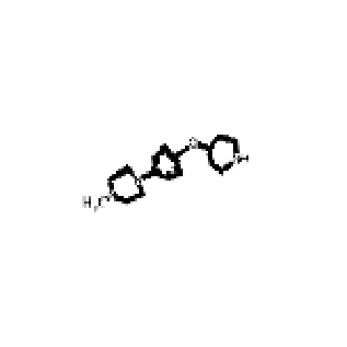 CN1CCN(c2ccc(OC3CCNCC3)cc2)CC1